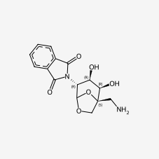 NC[C@@]12COC(O1)[C@H](N1C(=O)c3ccccc3C1=O)[C@@H](O)[C@H]2O